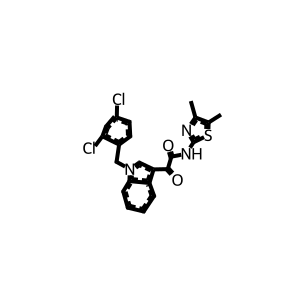 Cc1nc(NC(=O)C(=O)c2cn(Cc3ccc(Cl)cc3Cl)c3ccccc23)sc1C